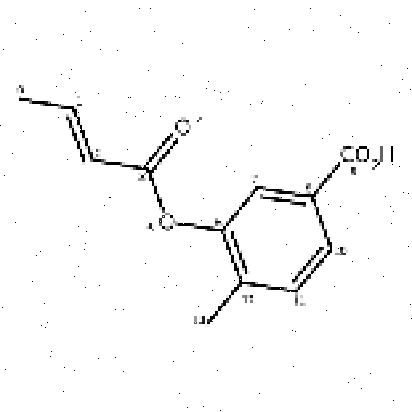 C/C=C/C(=O)Oc1cc(C(=O)O)ccc1C